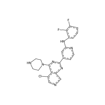 Fc1cccc(Nc2cc(-c3nc(N4CCNCC4)c4c(Cl)cncc4n3)ccn2)c1F